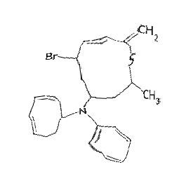 C=C1/C=C\C(Br)CC(N(c2ccccc2)C2C=CC=CC2)CC(C)S1